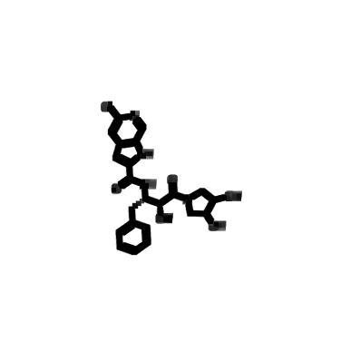 O=C(N[C@@H](Cc1ccccc1)[C@H](O)C(=O)N1CC(O)C(O)C1)c1cc2cc(Cl)ncc2[nH]1